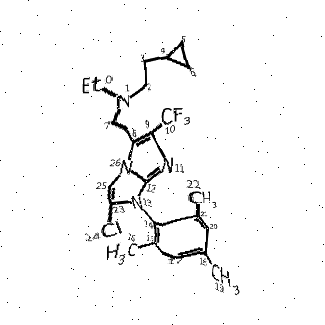 CCN(CCC1CC1)Cc1c(C(F)(F)F)nc2n(-c3c(C)cc(C)cc3C)c(Cl)cn12